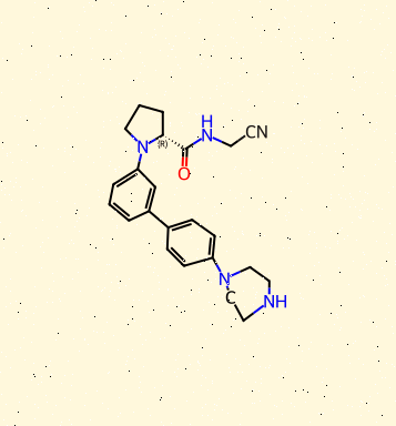 N#CCNC(=O)[C@H]1CCCN1c1cccc(-c2ccc(N3CCNCC3)cc2)c1